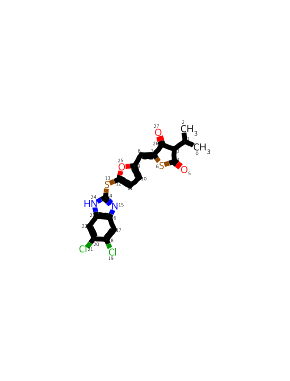 CC(C)C1C(=O)S/C(=C\c2ccc(Sc3nc4cc(Cl)c(Cl)cc4[nH]3)o2)C1=O